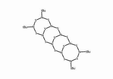 CC(C)(C)N1SN2SN3SN(SN(S2)SN(C(C)(C)C)S1)SN1SN(S3)SN(C(C)(C)C)SN(C(C)(C)C)S1